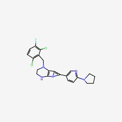 Fc1ccc(Cl)c(CN2CCNc3c2c2c(-c4ccc(N5CCCC5)nc4)n3-2)c1Cl